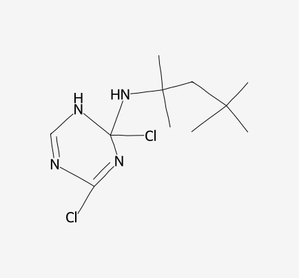 CC(C)(C)CC(C)(C)NC1(Cl)N=C(Cl)N=CN1